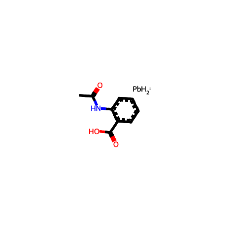 CC(=O)Nc1ccccc1C(=O)O.[PbH2]